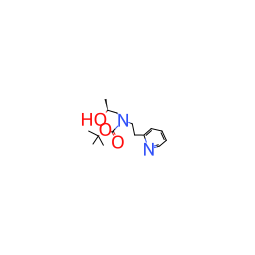 C[C@H](O)CN(CCc1ccccn1)C(=O)OC(C)(C)C